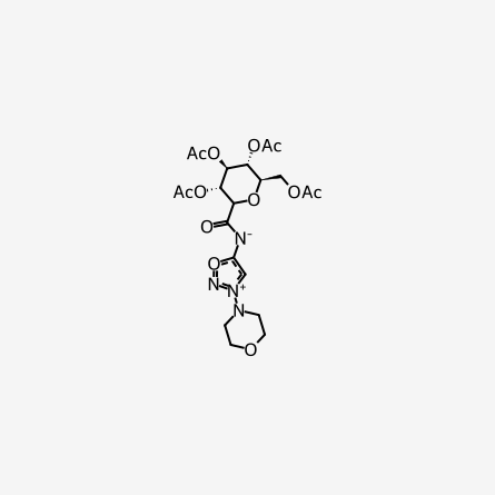 CC(=O)OC[C@H]1OC(C(=O)[N-]c2c[n+](N3CCOCC3)no2)[C@H](OC(C)=O)[C@@H](OC(C)=O)[C@@H]1OC(C)=O